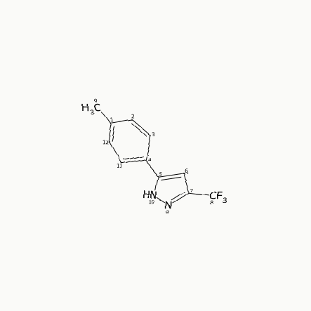 Cc1ccc(-c2[c]c(C(F)(F)F)n[nH]2)cc1